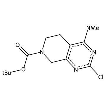 CNc1nc(Cl)nc2c1CCN(C(=O)OC(C)(C)C)C2